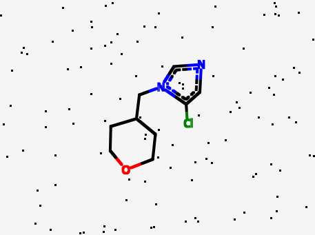 Clc1cncn1CC1CCOCC1